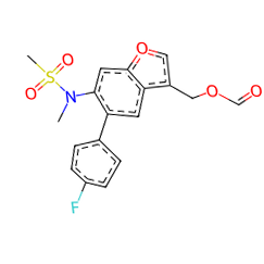 CN(c1cc2occ(COC=O)c2cc1-c1ccc(F)cc1)S(C)(=O)=O